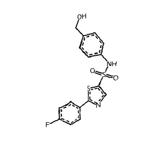 O=S(=O)(Nc1ccc(CO)cc1)c1cnc(-c2ccc(F)cc2)s1